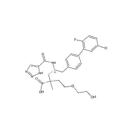 CC(CCOCCO)(C[C@@H](Cc1ccc(-c2cc(Cl)ccc2F)cc1)NC(=O)c1cnn[nH]1)C(=O)O